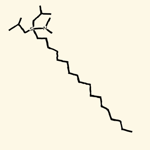 CCCCCCCCCCCCCCCCCC[Si](CC(C)C)(CC(C)C)N(C)C